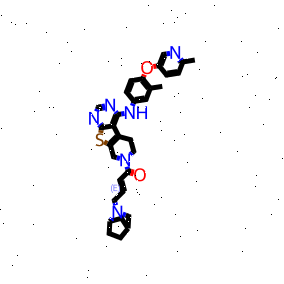 Cc1ccc(Oc2ccc(Nc3ncnc4sc5c(c34)CCN(C(=O)/C=C/CN3CC4CCC3C4)C5)cc2C)cn1